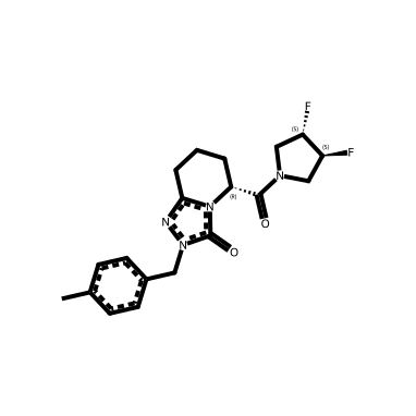 Cc1ccc(Cn2nc3n(c2=O)[C@@H](C(=O)N2C[C@H](F)[C@@H](F)C2)CCC3)cc1